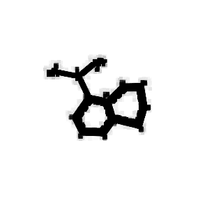 CCCN(CCC)c1cccc2ccccc12